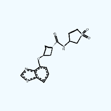 O=C(NC1CCS(=O)(=O)C1)[C@H]1C[C@H](Oc2cccc3scnc23)C1